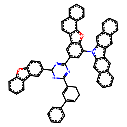 C1=C(C2=NC(c3cc(-n4c5cc6ccccc6cc5c5cc6ccccc6cc54)c4oc5c6ccccc6ccc5c4c3)=NC(c3ccc4oc5ccccc5c4c3)N2)CCC=C1c1ccccc1